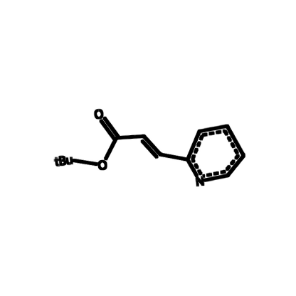 CC(C)(C)OC(=O)C=Cc1ccccn1